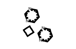 C1CCC1.c1cncnc1.c1cncnc1